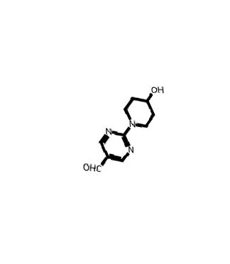 O=Cc1cnc(N2CCC(O)CC2)nc1